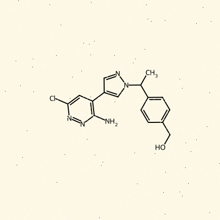 CC(c1ccc(CO)cc1)n1cc(-c2cc(Cl)nnc2N)cn1